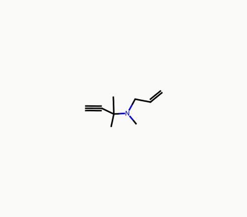 C#CC(C)(C)N(C)CC=C